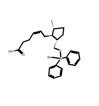 COC(=O)CC/C=C\C[C@@H]1[C@@H](CO[Si](c2ccccc2)(c2ccccc2)C(C)(C)C)CC[C@H]1F